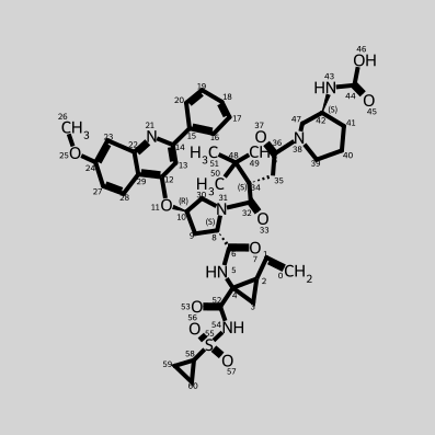 C=CC1CC1(NC(=O)[C@@H]1C[C@@H](Oc2cc(-c3ccccc3)nc3cc(OC)ccc23)CN1C(=O)[C@@H](CC(=O)N1CCC[C@H](NC(=O)O)C1)C(C)(C)C)C(=O)NS(=O)(=O)C1CC1